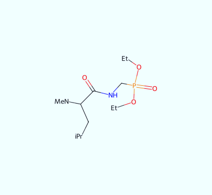 CCOP(=O)(CNC(=O)C(CC(C)C)NC)OCC